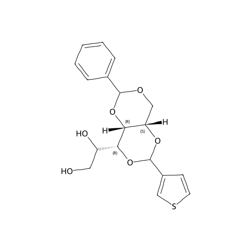 OCC(O)[C@H]1OC(c2ccsc2)O[C@H]2COC(c3ccccc3)O[C@H]21